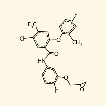 Cc1cc(F)ccc1Oc1cc(C(F)(F)F)c(Cl)cc1C(=O)Nc1ccc(F)c(OCC2CO2)c1